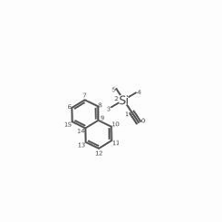 C#C[Si](C)(C)C.c1ccc2ccccc2c1